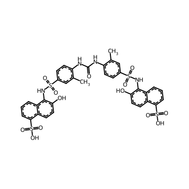 Cc1cc(S(=O)(=O)Nc2c(O)ccc3c(S(=O)(=O)O)cccc23)ccc1NC(=O)Nc1ccc(S(=O)(=O)Nc2c(O)ccc3c(S(=O)(=O)O)cccc23)cc1C